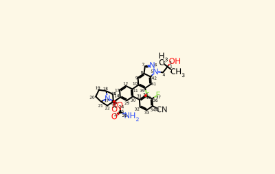 CC(C)(O)Cn1ncc2cc(-c3ccc(C(=O)N4C5CCC4CC(OC(N)=O)C5)cc3-c3ccc(C#N)c(F)c3)c(F)cc21